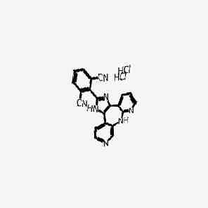 Cl.Cl.N#Cc1cccc(C#N)c1-c1nc2c([nH]1)-c1ccncc1Nc1ncccc1-2